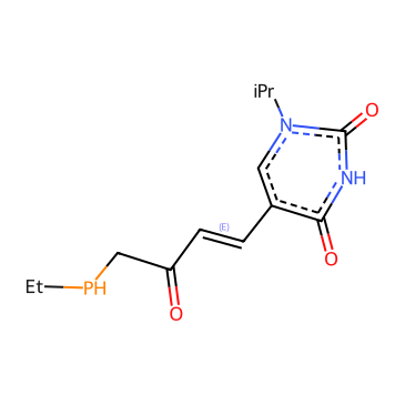 CCPCC(=O)/C=C/c1cn(C(C)C)c(=O)[nH]c1=O